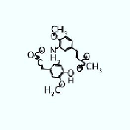 COc1cc(C=C=S(=O)=O)ccc1O.COc1ccc(C=CS(C)(=O)=O)cc1N